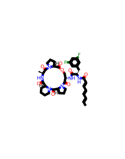 C/C=C/C=C/C=C/C(=O)N[C@@H](Cc1cc(F)cc(F)c1)C(=O)N[C@H]1COC(=O)[C@@H]2CCCN2C(=O)[C@H](C)NC(=O)[C@@H]2CCCCN2C(=O)[C@@H]2CCCN2C1=O